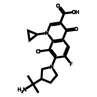 CC(C)(N)C1CCN(c2c(F)cc3c(=O)c(C(=O)O)cn(C4CC4)c3c2Cl)C1